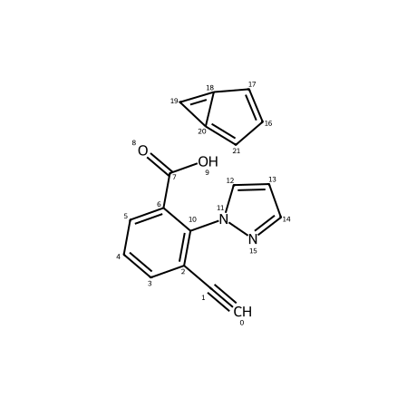 C#Cc1cccc(C(=O)O)c1-n1cccn1.c1cc2cc-2c1